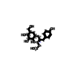 O=S(=O)(O)O/N=C(\Cc1ccc(O)cc1)S[C@@H]1CC(CO)[C@@H](O)C(O)C1O